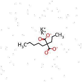 CCCCCC(CCC)(C(=O)[O-])C(=O)[O-].[K+].[K+]